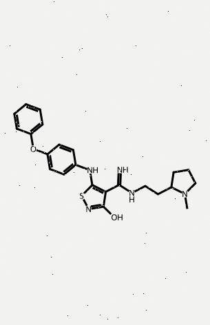 CN1CCCC1CCNC(=N)c1c(O)nsc1Nc1ccc(Oc2ccccc2)cc1